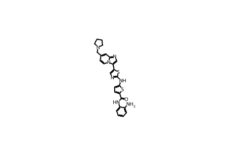 Nc1ccccc1NC(=O)c1ccc(Nc2ncc(-c3cnc4cc(CN5CCCC5)ccn34)s2)s1